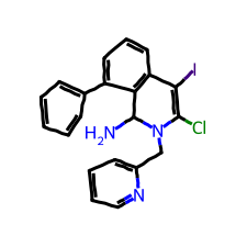 NC1c2c(cccc2-c2ccccc2)C(I)=C(Cl)N1Cc1ccccn1